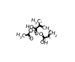 C=C(C)C(=O)O.C=CC(=O)O.CC(C)=O